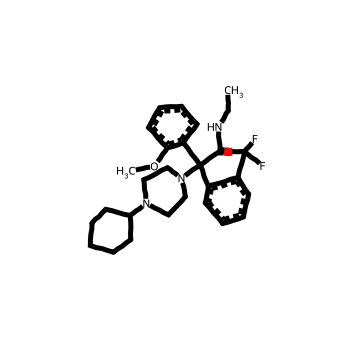 CCNC(=O)C(c1ccccc1OC)(c1ccccc1C(F)(F)F)N1CCN(C2CCCCC2)CC1